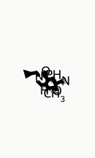 C[C@H]1C(=O)C(C#N)=C[C@@]2(P)C(=O)N(CC3CC3)CC[C@H]12